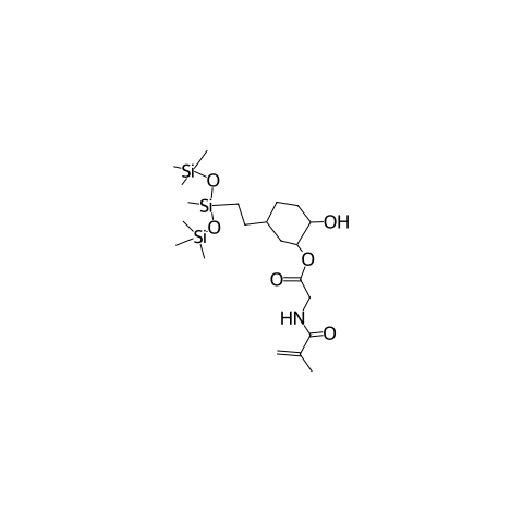 C=C(C)C(=O)NCC(=O)OC1CC(CC[Si](C)(O[Si](C)(C)C)O[Si](C)(C)C)CCC1O